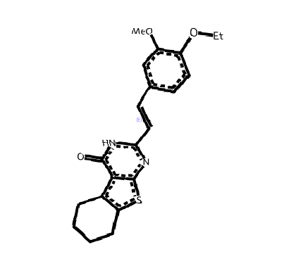 CCOc1ccc(/C=C/c2nc3sc4c(c3c(=O)[nH]2)CCCC4)cc1OC